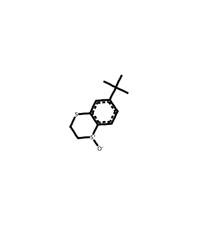 CC(C)(C)c1ccc2c(c1)SCC[S+]2[O-]